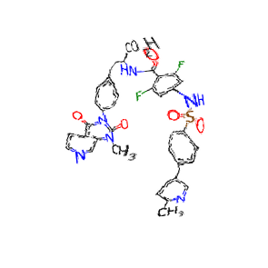 Cc1ccc(-c2ccc(S(=O)(=O)Nc3cc(F)c(C(=O)N[C@@H](Cc4ccc(-n5c(=O)c6ccncc6n(C)c5=O)cc4)C(=O)O)c(F)c3)cc2)cn1